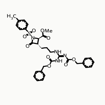 COC(=O)[C@H]1[C@H](CCCNC(=NC(=O)OCc2ccccc2)NC(=O)OCc2ccccc2)C(=O)N1S(=O)(=O)c1ccc(C)cc1